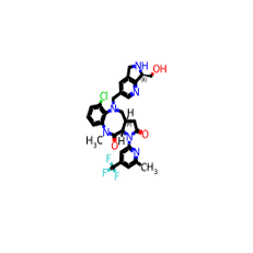 Cc1cc(C(F)(F)F)cc(N2C(=O)C[C@@H]3CN(Cc4cnc5c(c4)CN[C@H]5CO)c4c(Cl)cccc4N(C)C(=O)[C@H]32)n1